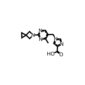 Cc1nc(N2CC3(CC3)C2)ncc1Cn1cnc(C(=O)O)c1